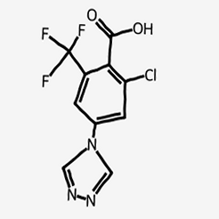 O=C(O)c1c(Cl)cc(-n2cnnc2)cc1C(F)(F)F